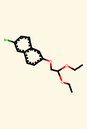 CCOC(COc1ccc2cc(Br)ccc2c1)OCC